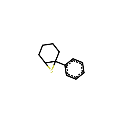 c1ccc(C23CCCCC2S3)cc1